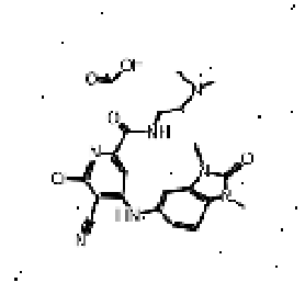 CN(C)CCNC(=O)c1cc(Nc2ccc3c(c2)n(C)c(=O)n3C)c(C#N)c(Cl)n1.O=CO